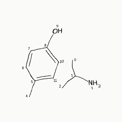 CC(C)N.Cc1ccc(O)cc1